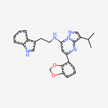 CC(C)c1cnn2c(NCCc3c[nH]c4ccccc34)cc(-c3cccc4c3OCO4)nc12